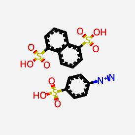 N#[N+]c1ccc(S(=O)(=O)O)cc1.O=S(=O)(O)c1cccc2c(S(=O)(=O)O)cccc12